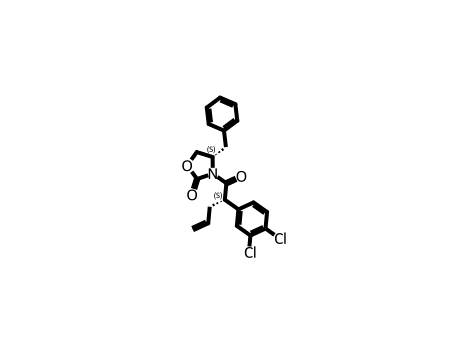 C=CC[C@H](C(=O)N1C(=O)OC[C@@H]1Cc1ccccc1)c1ccc(Cl)c(Cl)c1